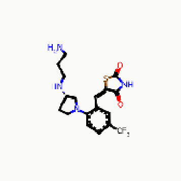 NCCCN[C@H]1CCN(c2ccc(C(F)(F)F)cc2C=C2SC(=O)NC2=O)C1